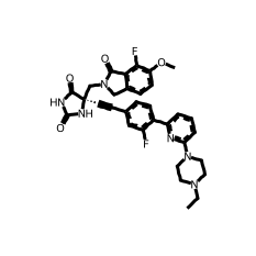 CCN1CCN(c2cccc(-c3ccc(C#C[C@]4(CN5Cc6ccc(OC)c(F)c6C5=O)NC(=O)NC4=O)cc3F)n2)CC1